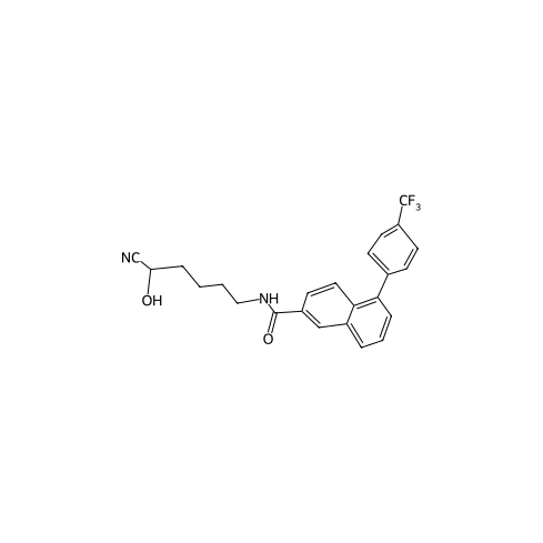 N#CC(O)CCCCNC(=O)c1ccc2c(-c3ccc(C(F)(F)F)cc3)cccc2c1